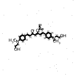 CN(CCO)c1ccc(/C=C/C(=O)/C=C(/C=C/c2ccc(N(C)CCO)cc2)OB(F)F)cc1